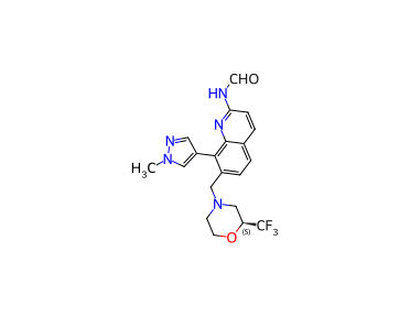 Cn1cc(-c2c(CN3CCO[C@H](C(F)(F)F)C3)ccc3ccc(NC=O)nc23)cn1